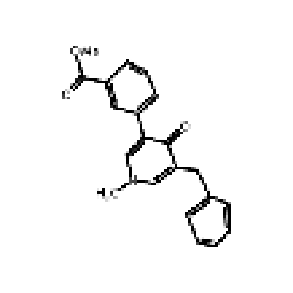 COC(=O)c1cccc(-c2cn(C)cc(Cc3ccccc3)c2=O)c1